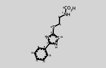 O=C(O)NCCSc1nc(-c2ccccc2)ns1